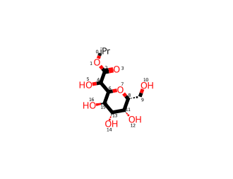 CC(C)OC(=O)C(O)C1O[C@H](CO)[C@H](O)[C@H](O)[C@H]1O